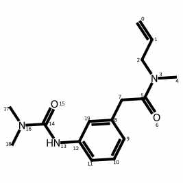 C=CCN(C)C(=O)Cc1cccc(NC(=O)N(C)C)c1